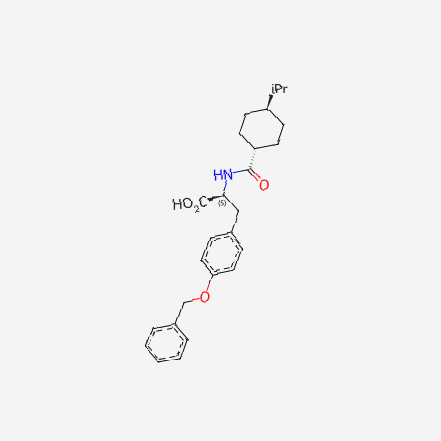 CC(C)[C@H]1CC[C@H](C(=O)N[C@@H](Cc2ccc(OCc3ccccc3)cc2)C(=O)O)CC1